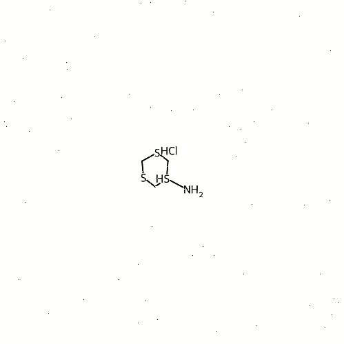 Cl.N[SH]1CSCSC1